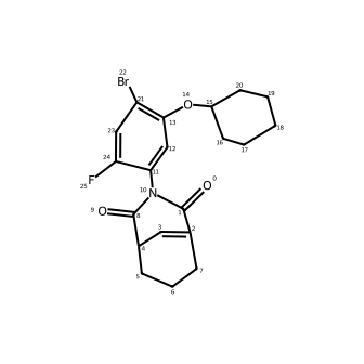 O=C1C2=CC(CCC2)C(=O)N1c1cc(OC2CCCCC2)c(Br)cc1F